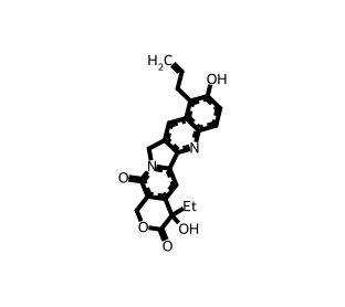 C=CCc1c(O)ccc2nc3c(cc12)Cn1c-3cc2c(c1=O)COC(=O)C2(O)CC